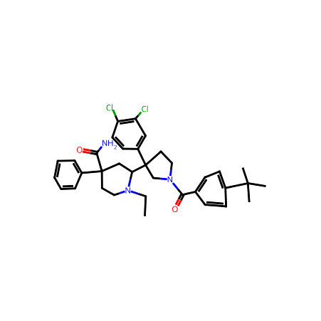 CCN1CCC(C(N)=O)(c2ccccc2)CC1C1(c2ccc(Cl)c(Cl)c2)CCN(C(=O)c2ccc(C(C)(C)C)cc2)C1